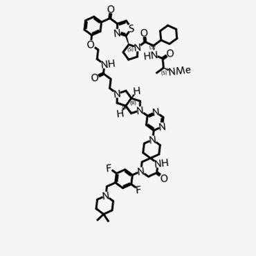 CN[C@@H](C)C(=O)N[C@H](C(=O)N1CCC[C@H]1c1nc(C(=O)c2cccc(OCCNC(=O)CCN3C[C@@H]4CN(c5cc(N6CCC7(CC6)CN(c6cc(F)c(CN8CCC(C)(C)CC8)cc6F)CC(=O)N7)ncn5)C[C@@H]4C3)c2)cs1)C1CCCCC1